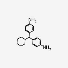 Nc1ccc(C(c2ccc(N)cc2)C2CCCCC2)cc1